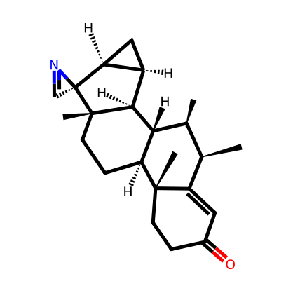 C[C@@H]1[C@H]2[C@@H]3[C@@H]4C[C@@H]4[C@@]4(C=N4)[C@@]3(C)CC[C@@H]2[C@@]2(C)CCC(=O)C=C2[C@@H]1C